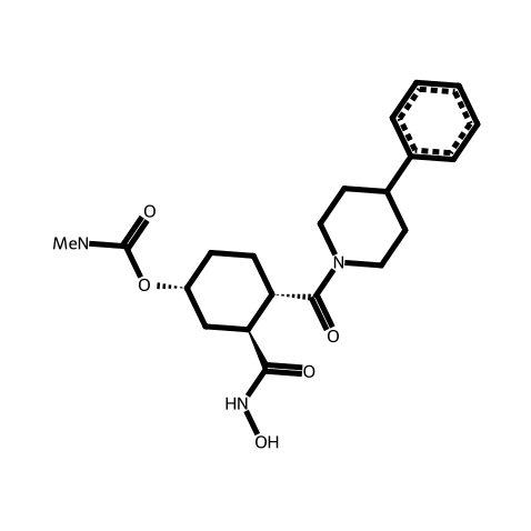 CNC(=O)O[C@@H]1CC[C@H](C(=O)N2CCC(c3ccccc3)CC2)[C@@H](C(=O)NO)C1